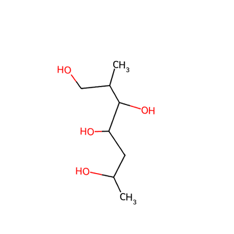 CC(O)CC(O)C(O)C(C)CO